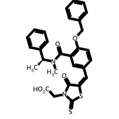 C[C@@H](c1ccccc1)N(C)C(=O)c1cc(C=C2SC(=S)N(CC(=O)O)C2=O)ccc1OCc1ccccc1